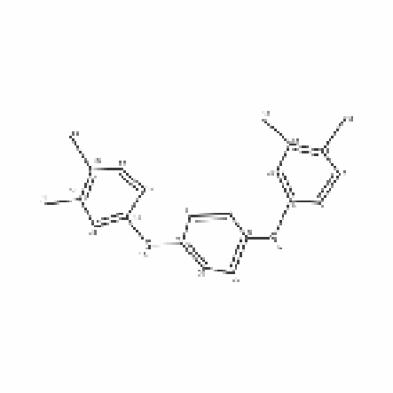 Cc1ccc(Sc2ccc(Sc3ccc(C)c(C)c3)cc2)cc1C